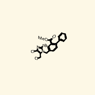 CCCCc1nc(Cl)c(CCl)n1Cc1ccc(-c2ccccc2)c(C(=O)OC)c1